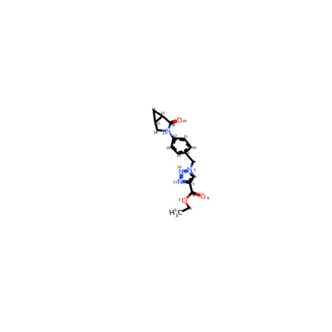 CCOC(=O)c1cn(Cc2ccc(N3CC4CC4C3=O)cc2)nn1